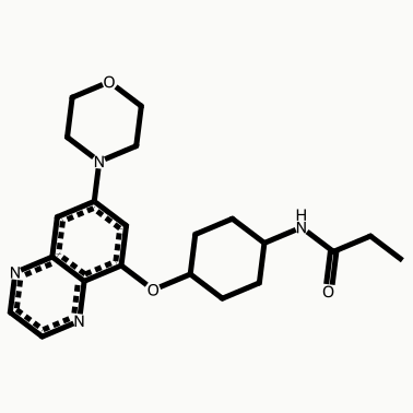 CCC(=O)NC1CCC(Oc2cc(N3CCOCC3)cc3nccnc23)CC1